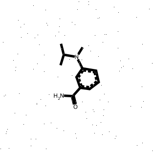 CC(C)N(C)c1cccc(C(N)=O)c1